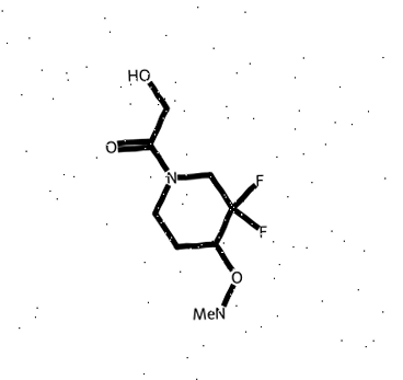 CNOC1CCN(C(=O)CO)CC1(F)F